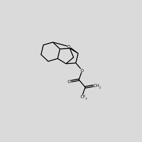 C=C(C(=O)OC1C2CC3C1OC1CCCC2C13)C(F)(F)F